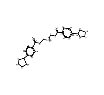 S=C(CCNCCC(=S)c1ccc(C2CCCC2)cc1)c1ccc(C2CCCC2)cc1